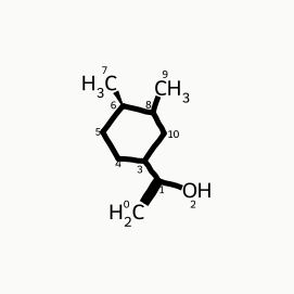 C=C(O)C1CC[C@@H](C)C(C)C1